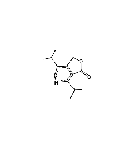 CC(C)c1cnc(C(C)C)c2c1COC2=O